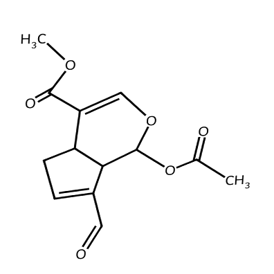 COC(=O)C1=COC(OC(C)=O)C2C(C=O)=CCC12